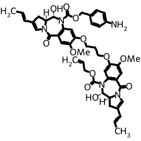 C=CCOC(=O)N1c2cc(OCCCOc3cc4c(cc3OC)C(=O)N3C=C(/C=C/C)C[C@H]3[C@H](O)N4C(=O)OCc3ccc(N)cc3)c(OC)cc2C(=O)N2C=C(/C=C/C)C[C@H]2[C@@H]1O